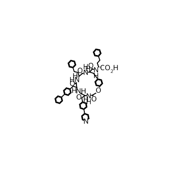 O=C1COc2ccc(cc2)C[C@@H](C(=O)N[C@H](CCc2ccccc2)C(=O)O)NC(=O)[C@H](CCc2ccccc2)NC(=O)[C@@H](Cc2ccc(-c3ccccc3)cc2)NC(=O)[C@H](Cc2ccc(-c3ccncc3)cc2)N1